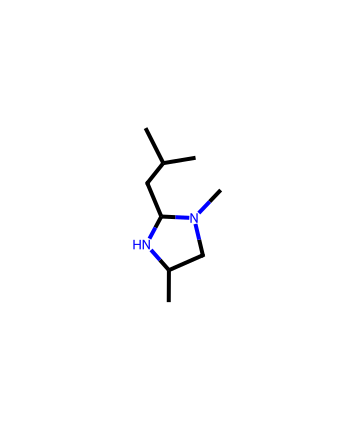 CC(C)CC1NC(C)CN1C